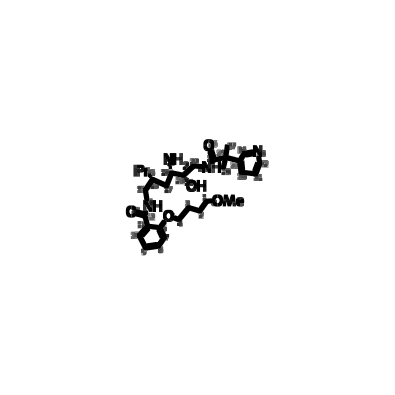 COCCCCOc1ccccc1C(=O)NC[C@@H](C[C@H](N)[C@@H](O)CNC(=O)C(C)(C)c1cccnc1)C(C)C